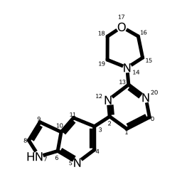 c1cc(-c2cnc3[nH]ccc3c2)nc(N2CCOCC2)n1